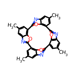 Cc1cc2c3oc(nc3c1)-c1cc(C)cc3nc(oc13)-c1cc(C)cc3nc(oc13)-c1cc(C)cc3nc-2oc13